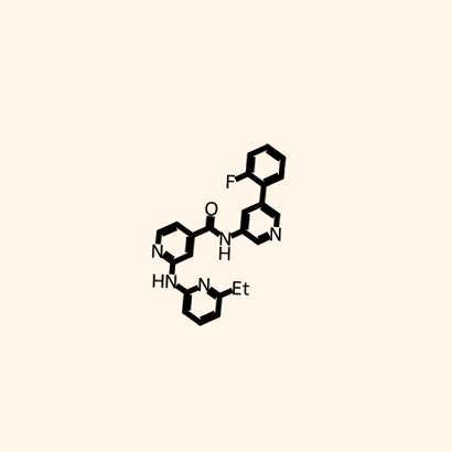 CCc1cccc(Nc2cc(C(=O)Nc3cncc(-c4ccccc4F)c3)ccn2)n1